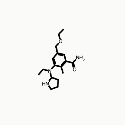 CCOCc1cc(C(N)=O)c(C)c(N(CC)C2CCCN2)c1